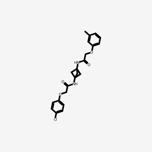 Cc1cccc(OCC(=O)NC23CC(NC(=O)COc4ccc(Cl)cc4)(C2)C3)c1